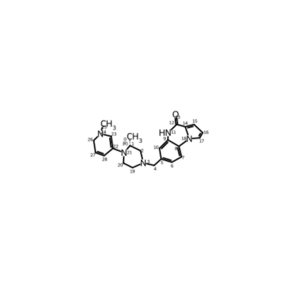 C[C@@H]1CN(Cc2ccc3c(c2)[nH]c(=O)c2cccn23)CCN1C1=CN(C)CC=C1